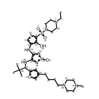 CCN1CCN(S(=O)(=O)c2scc(Nc3n[s+]([O-])nc3N[C@@H](c3cc(CCCCN4CCN(C)CC4)co3)C(C)(C)C)c2O)CC1